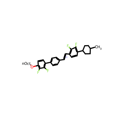 CCCCCCCCOc1ccc(-c2ccc(/C=C/c3ccc(C4CCC(C)CC4)c(F)c3F)cc2)c(F)c1F